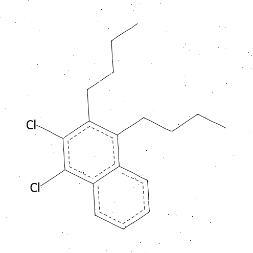 CCCCc1c(Cl)c(Cl)c2ccccc2c1CCCC